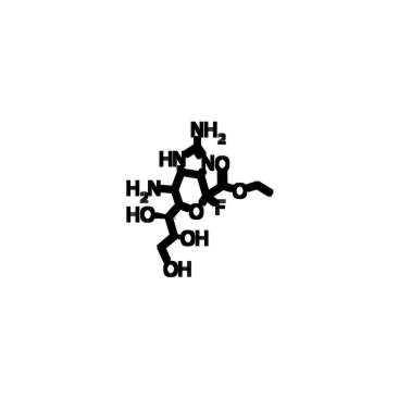 CCOC(=O)C1(F)OC([C@H](O)[C@H](O)CO)C(N)C2NC(N)=NC21